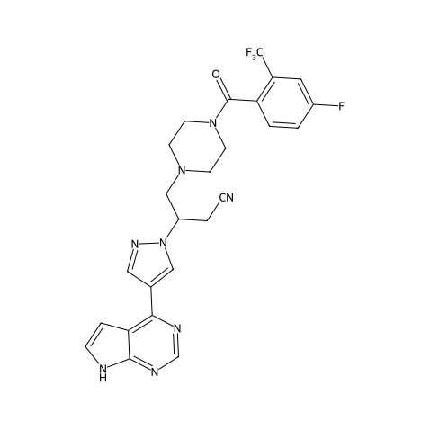 N#CCC(CN1CCN(C(=O)c2ccc(F)cc2C(F)(F)F)CC1)n1cc(-c2ncnc3[nH]ccc23)cn1